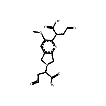 COc1cc2c(nc1C(CC=O)C(=O)O)CN(C(CC=O)C(=O)O)C2